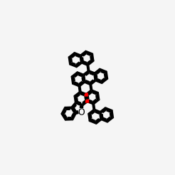 c1ccc2c(-c3ccc(-c4c5ccccc5c(-c5cccc6ccccc56)c5cccc(-c6ccc7oc8ccccc8c7c6)c45)cc3)cccc2c1